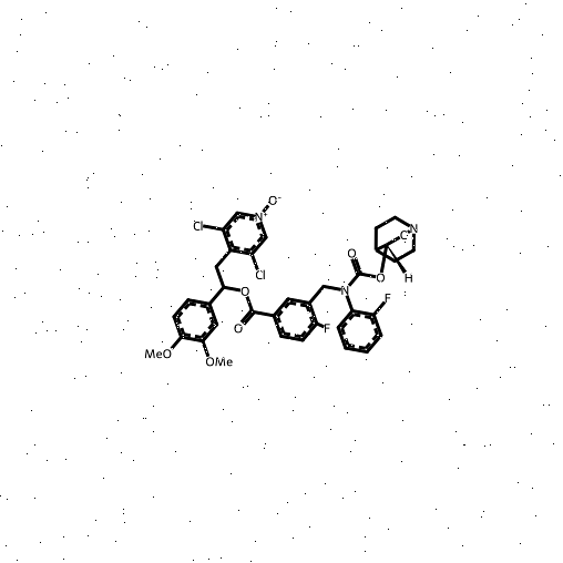 COc1ccc(C(Cc2c(Cl)c[n+]([O-])cc2Cl)OC(=O)c2ccc(F)c(CN(C(=O)O[C@H]3CN4CCC3CC4)c3ccccc3F)c2)cc1OC